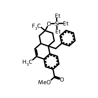 CC[Si](CC)(CC)OC1(C(F)(F)F)CCC2(Cc3ccccc3)c3ccc(C(=O)OC)cc3C(C)=CC2C1